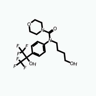 O=C(N1CCOCC1)N(CCCCO)c1ccc(C(O)(C(F)(F)F)C(F)(F)F)cc1